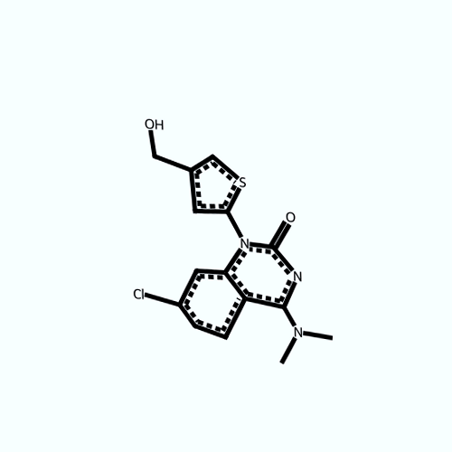 CN(C)c1nc(=O)n(-c2cc(CO)cs2)c2cc(Cl)ccc12